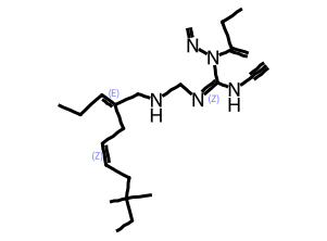 C#CN/C(=N/CNC/C(=C/CC)C/C=C\CC(C)(C)CC)N(N=C)C(=C)CC